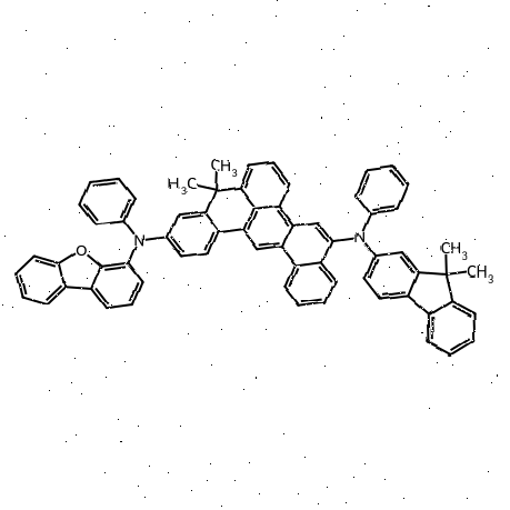 CC1(C)c2ccccc2-c2ccc(N(c3ccccc3)c3cc4c5cccc6c5c(cc4c4ccccc34)-c3ccc(N(c4ccccc4)c4cccc5c4oc4ccccc45)cc3C6(C)C)cc21